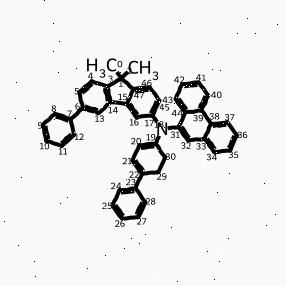 CC1(C)c2ccc(-c3ccccc3)cc2-c2cc(N(C3=CC=C(c4ccccc4)CC3)c3cc4ccccc4c4ccccc34)ccc21